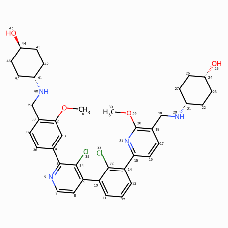 COc1cc(-c2nccc(-c3cccc(-c4ccc(CN[C@H]5CC[C@@H](O)CC5)c(OC)n4)c3Cl)c2Cl)ccc1CN[C@H]1CC[C@H](O)CC1